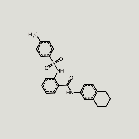 Cc1ccc(S(=O)(=O)Nc2ccccc2C(=O)Nc2ccc3c(c2)CCCC3)cc1